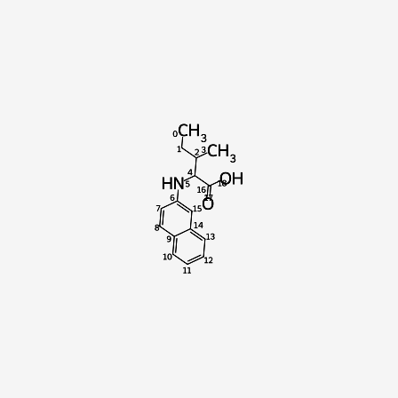 CCC(C)C(Nc1ccc2ccccc2c1)C(=O)O